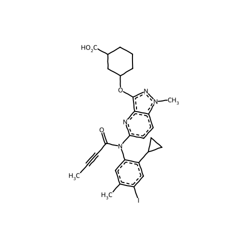 CC#CC(=O)N(c1ccc2c(n1)c(OC1CCCC(C(=O)O)C1)nn2C)c1cc(C)c(I)cc1C1CC1